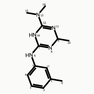 Cc1cccc(NC2=NC(C)N=C(N(C)C)N2)c1